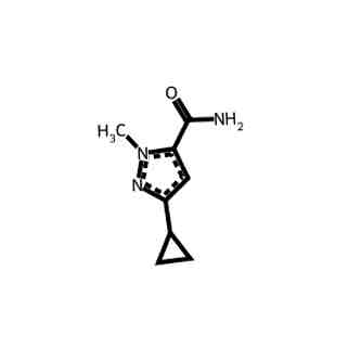 Cn1nc(C2CC2)cc1C(N)=O